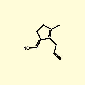 C=CCC1=C(C)CCC1=CC#N